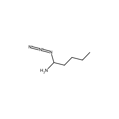 CCCCC(N)N=[N+]=[N-]